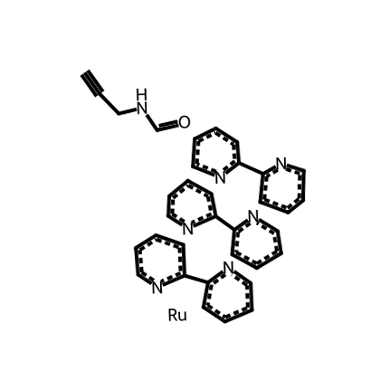 C#CCNC=O.[Ru].c1ccc(-c2ccccn2)nc1.c1ccc(-c2ccccn2)nc1.c1ccc(-c2ccccn2)nc1